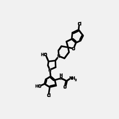 NC(=O)Nc1cc(Cl)c(O)cc1N1CC(O)C(N2CCC3(CC2)Cc2cc(Cl)ccc2O3)C1